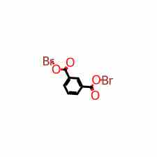 O=C(OBr)c1cccc(C(=O)OBr)c1